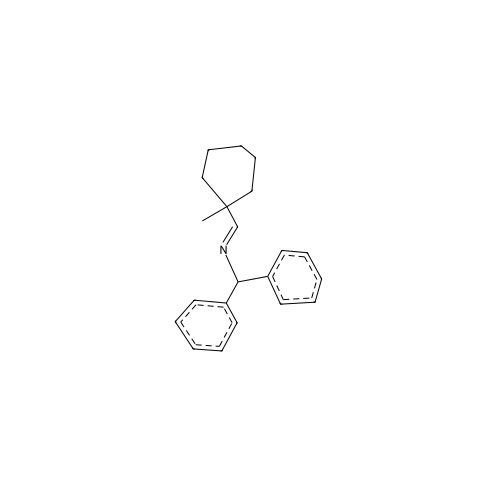 CC1(/C=N/C(c2ccccc2)c2ccccc2)CCCCC1